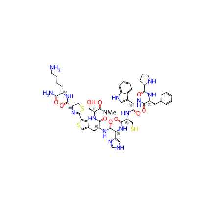 CNC(=O)[C@H](CO)NC(=O)[C@H](Cc1csc(C2=N[C@H](C(=O)N[C@@H](CCCCN)C(N)=O)CS2)c1)NC(=O)[C@@H](NC(=O)[C@H](CS)NC(=O)[C@@H](NC(=O)[C@H](Cc1ccccc1)NC(=O)C1CCCN1)c1c[nH]c2ccccc12)c1c[nH]cn1